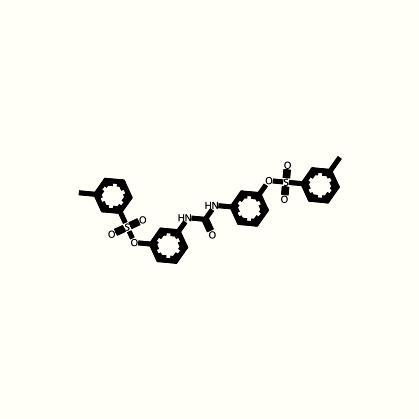 Cc1cccc(S(=O)(=O)Oc2cccc(NC(=O)Nc3cccc(OS(=O)(=O)c4cccc(C)c4)c3)c2)c1